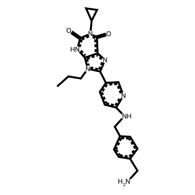 CCCn1c(-c2ccc(NCc3ccc(CN)cc3)nc2)nc2c(=O)n(C3CC3)c(=O)[nH]c21